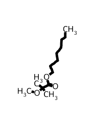 CCCCCCCCOC(=O)C(C)(C)OC